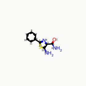 NC(=O)c1nc(-c2ccccc2)sc1N